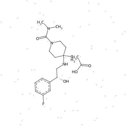 CC(=O)O.CN(C)C(=O)N1CCC(C)(NC[C@H](O)c2cccc(F)c2)CC1